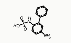 Nc1ccc(NS(=O)(=O)O)c(-c2ccccc2)c1